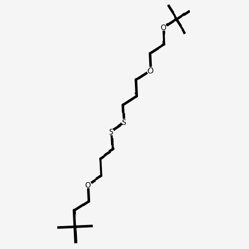 CC(C)(C)CCOCCCSSCCCOCCOC(C)(C)C